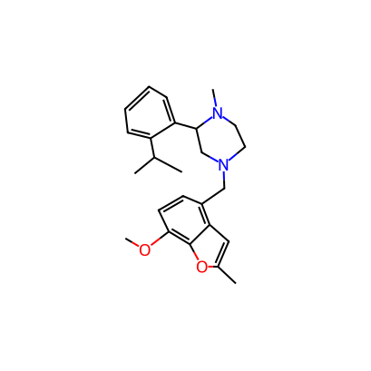 COc1ccc(CN2CCN(C)C(c3ccccc3C(C)C)C2)c2cc(C)oc12